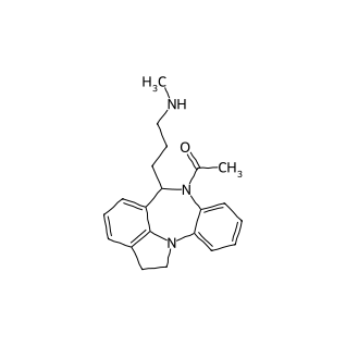 CNCCCC1c2cccc3c2N(CC3)c2ccccc2N1C(C)=O